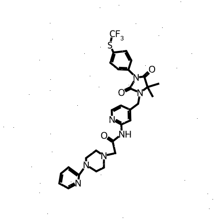 CC1(C)C(=O)N(c2ccc(SC(F)(F)F)cc2)C(=O)N1Cc1ccnc(NC(=O)CN2CCN(c3ccccn3)CC2)c1